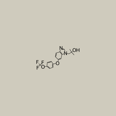 CC(C)(O)Cn1cnc2ccc(Oc3ccc(OC(F)(F)F)cc3)cc21